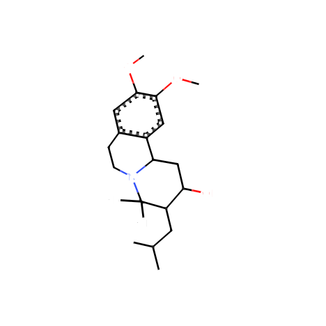 [2H]C1([2H])C(CC(C)C)C(O)CC2c3cc(OC)c(OC)cc3CCN21